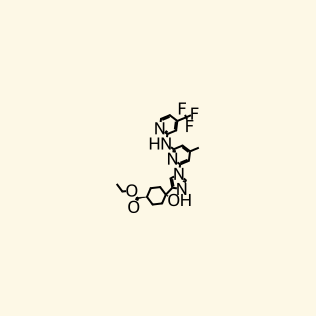 CCOC(=O)[C@H]1CC[C@@](O)(c2cn(-c3cc(C)cc(Nc4cc(C(F)(F)F)ccn4)n3)cn2)CC1